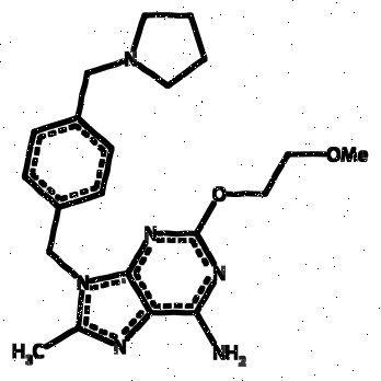 COCCOc1nc(N)c2nc(C)n(Cc3ccc(CN4CCCC4)cc3)c2n1